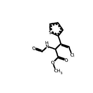 COC(=O)C(NC=O)C(=CCl)c1cccs1